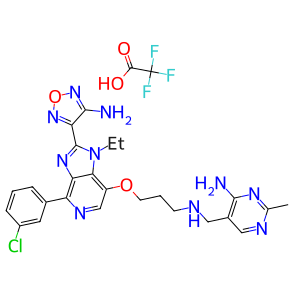 CCn1c(-c2nonc2N)nc2c(-c3cccc(Cl)c3)ncc(OCCCNCc3cnc(C)nc3N)c21.O=C(O)C(F)(F)F